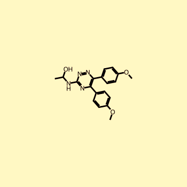 COc1ccc(-c2nnc(NC(C)O)nc2-c2ccc(OC)cc2)cc1